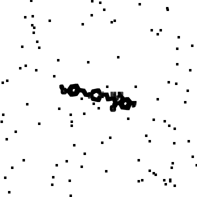 COc1ccc(CCN2CCN(CCCC(=O)c3ccc(F)cc3N)CC2)cc1